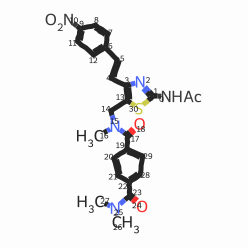 CC(=O)Nc1nc(C=Cc2ccc([N+](=O)[O-])cc2)c(CN(C)C(=O)c2ccc(C(=O)N(C)C)cc2)s1